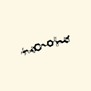 Cc1nc(/C=C/C(=O)N[C@H]2CC[C@H](CCN3CCc4nc(OCC(F)(F)F)sc4CC3)CC2)cs1